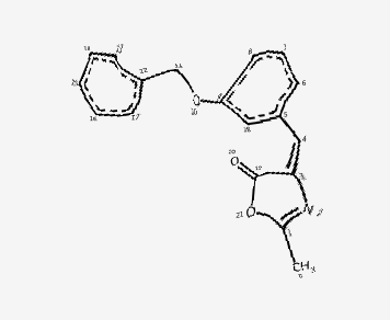 CC1=NC(=Cc2cccc(OCc3ccccc3)c2)C(=O)O1